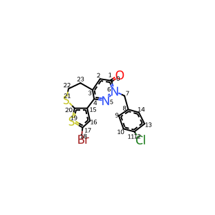 O=c1cc2c(nn1Cc1ccc(Cl)cc1)-c1cc(Br)sc1SCC2